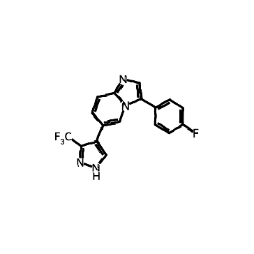 Fc1ccc(-c2cnc3ccc(-c4c[nH]nc4C(F)(F)F)cn23)cc1